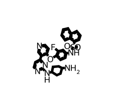 NC1CCC(Nc2nccc(-c3cnccc3Oc3ccc(NS(=O)(=O)c4cccc5ccccc45)cc3F)n2)CC1